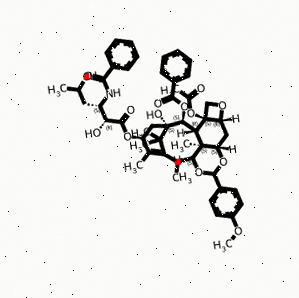 COc1ccc(C2O[C@H]3C[C@H]4OC[C@@]4(OC(C)=O)[C@H]4[C@H](OC(=O)c5ccccc5)[C@]5(O)C[C@H](OC(=O)[C@H](O)[C@H](CC(C)C)NC(=O)c6ccccc6)C(C)=C(C(C)[C@H](O2)[C@]34C)C5(C)C)cc1